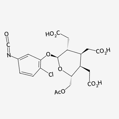 CC(=O)OC[C@@H]1O[C@@H](Oc2cc(N=C=O)ccc2Cl)[C@H](CC(=O)O)[C@@H](CC(=O)O)[C@H]1CC(=O)O